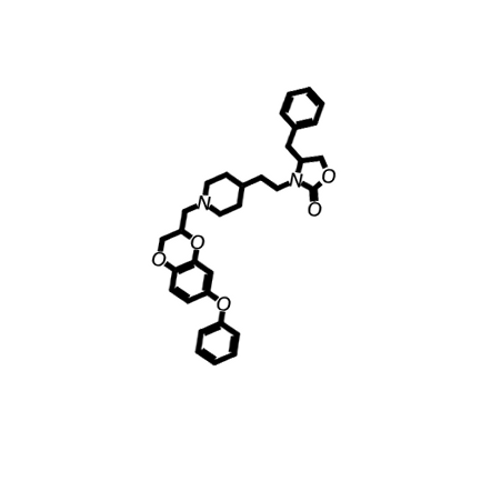 O=C1OCC(Cc2ccccc2)N1CCC1CCN(CC2COc3ccc(Oc4ccccc4)cc3O2)CC1